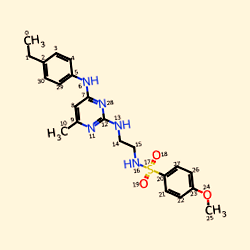 CCc1ccc(Nc2cc(C)nc(NCCNS(=O)(=O)c3ccc(OC)cc3)n2)cc1